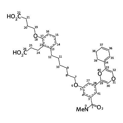 CNC(=O)c1cc(OCCCCCCc2cccc(OCCCC(=O)O)c2CCC(=O)O)cc(C2=COC=C(C3=CC=CCC3)O2)c1